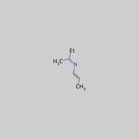 CC=CN=C(C)CC